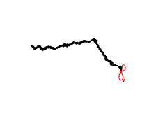 C=CCC=CCC=CCC=CC/C=C\CCCCCC(=O)OC